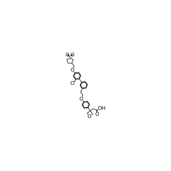 O=C(O)CC1(c2ccc(OCCc3cccc(-c4ccc(OCC5CCS(=O)(=O)C5)cc4Cl)c3)cc2)COC1